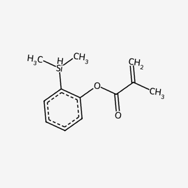 C=C(C)C(=O)Oc1ccccc1[SiH](C)C